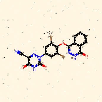 N#Cc1nn(-c2cc(Br)c(Oc3n[nH]c(=O)c4ccccc34)c(Br)c2)c(=O)[nH]c1=O.[Ca]